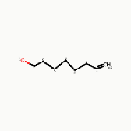 C=CCCCCCC[O]